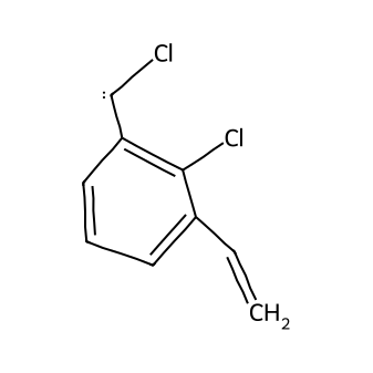 C=Cc1cccc([C]Cl)c1Cl